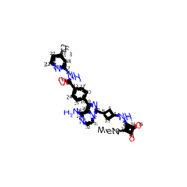 CNc1c(NC2CC(c3nc(-c4ccc(C(=O)Nc5cc(C(F)(F)F)ccn5)cc4)c4c(N)nccn34)C2)c(=O)c1=O